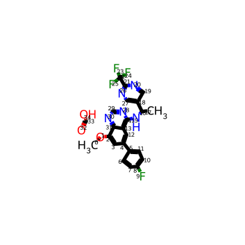 COc1cc(-c2ccc(F)cc2)cc2c(NC(C)c3cnc(C(F)(F)F)nc3)ncnc12.O=CO